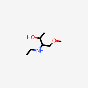 CCNC(COC)C(C)O